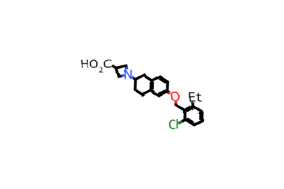 CCc1cccc(Cl)c1COc1ccc2c(c1)CCC(N1CC(C(=O)O)C1)C2